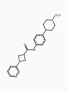 O=C(Nc1ccc(C2CCN(C(=O)O)CC2)cc1)C1CN(c2cccnn2)C1